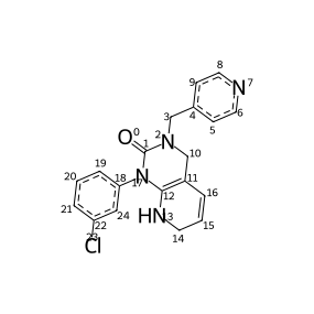 O=C1N(Cc2ccncc2)CC2=C(NCC=C2)N1c1cccc(Cl)c1